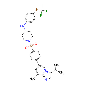 Cc1cc(-c2ccc(S(=O)(=O)N3CCC(Nc4ccc(SC(F)(F)F)cc4)CC3)cc2)cn2c(C(C)C)cnc12